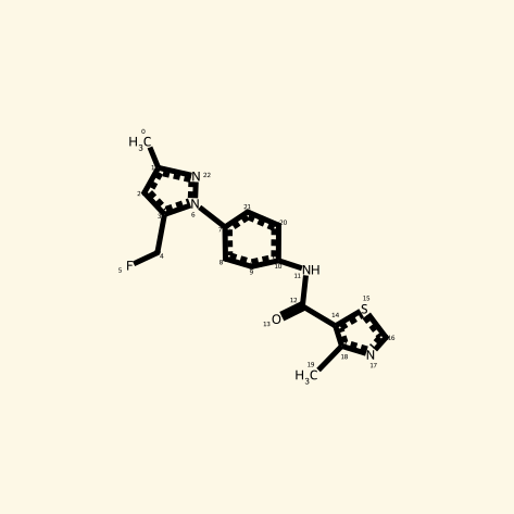 Cc1cc(CF)n(-c2ccc(NC(=O)c3scnc3C)cc2)n1